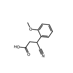 COc1ccccc1C(C#N)CC(=O)O